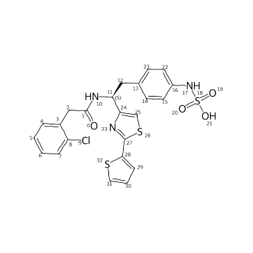 O=C(Cc1ccccc1Cl)N[C@@H](Cc1ccc(NS(=O)(=O)O)cc1)c1csc(-c2cccs2)n1